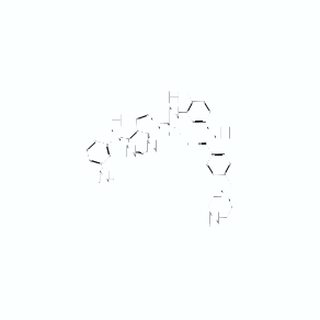 Cc1ccc(NC(=O)c2ccc(CN3CCN(C)CC3)cc2)cc1NC(=O)n1ccc2c(Nc3cccc(N(C)C)c3)ncnc21